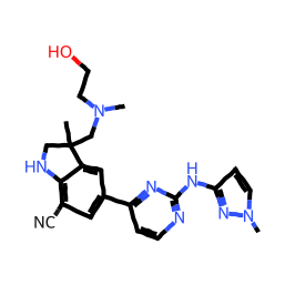 CN(CCO)CC1(C)CNc2c(C#N)cc(-c3ccnc(Nc4ccn(C)n4)n3)cc21